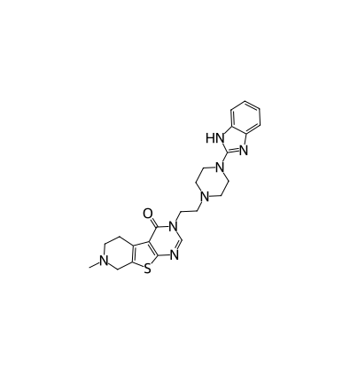 CN1CCc2c(sc3ncn(CCN4CCN(c5nc6ccccc6[nH]5)CC4)c(=O)c23)C1